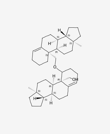 C[C@@]12CCC[C@H]1[C@@H]1CCC3=CCCC[C@]3(COC3CCC=C4CC[C@@H]5[C@@H](CC[C@]6(C)CCC[C@@H]56)[C@]43CO)[C@@H]1CC2